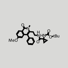 COc1ccc2c(=O)n(C)c(CCNC(=O)C3(NC(=O)OC(C)(C)C)CC3)c(-c3ccccc3)c2c1